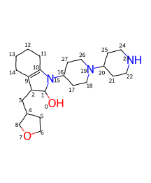 OC1C(CC2CCOC2)C2=C(CCCC2)N1C1CCN(C2CCNCC2)CC1